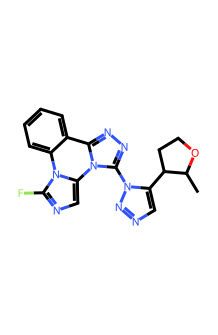 CC1OCCC1c1cnnn1-c1nnc2c3ccccc3n3c(F)ncc3n12